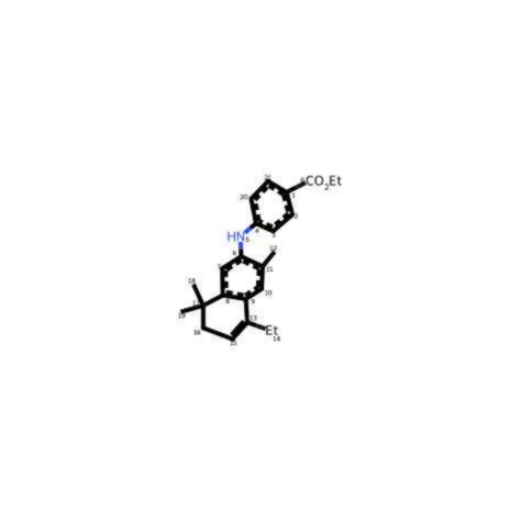 CCOC(=O)c1ccc(Nc2cc3c(cc2C)C(CC)=CCC3(C)C)cc1